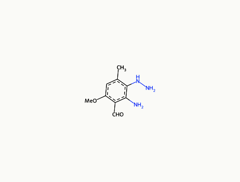 COc1cc(C)c(NN)c(N)c1C=O